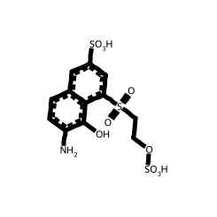 Nc1ccc2cc(S(=O)(=O)O)cc(S(=O)(=O)CCOS(=O)(=O)O)c2c1O